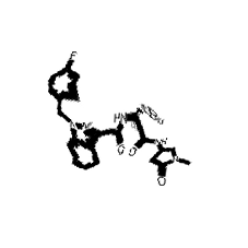 CN1CC(NC(=O)[C@@H](NC(=O)c2nn(Cc3ccc(F)cc3)c3ccccc23)C(C)(C)C)CC1=O